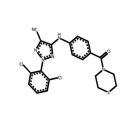 N#Cc1nn(-c2c(Cl)cccc2Cl)nc1Nc1ccc(C(=O)N2CCSCC2)cc1